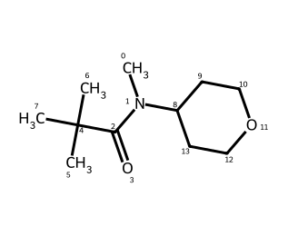 CN(C(=O)C(C)(C)C)C1CCOCC1